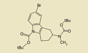 CN(C(=O)OC(C)(C)C)C1CCc2c(c3cc(Br)ccc3n2C(=O)OC(C)(C)C)C1